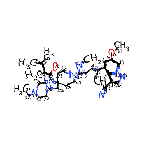 C=N/C(=C\C=C(/C)c1cc(OCC)cn2ncc(C#N)c12)N1CCC(CN2CCN(CC)CC2)(NC(=O)C(C)C(C)C)CC1